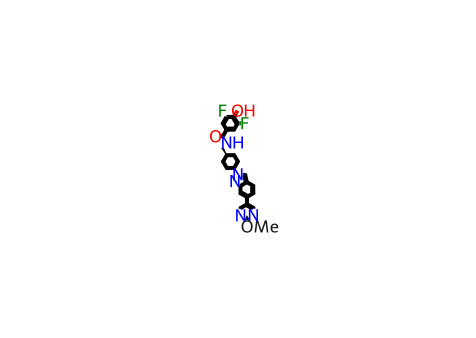 COc1ncc(-c2ccc3cn([C@H]4CC[C@H](CNC(=O)c5cc(F)c(O)c(F)c5)CC4)nc3c2)cn1